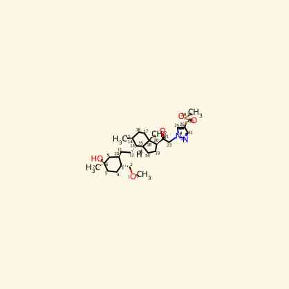 COC[C@@H]1CC[C@@](C)(O)C[C@H]1CC[C@@H]1[C@@H](C)CC[C@]2(C)[C@@H](C(=O)Cn3cc(S(C)(=O)=O)cn3)CC[C@@H]12